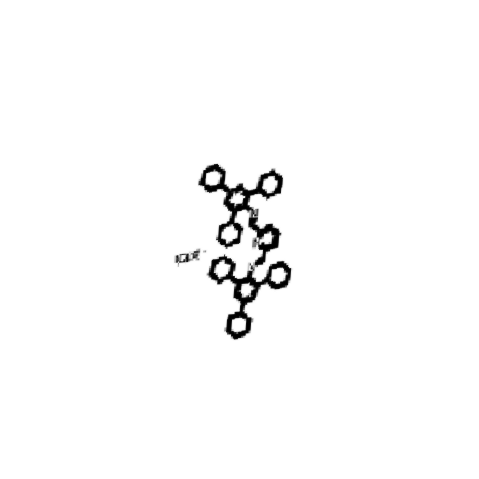 C(=Nc1c(C2CCCCC2)cc(C2CCCCC2)cc1C1CCCCC1)c1cccc(C=Nc2c(C3CCCCC3)cc(C3CCCCC3)cc2C2CCCCC2)n1.[Cl-].[Cl-].[Cl-].[Nd+3]